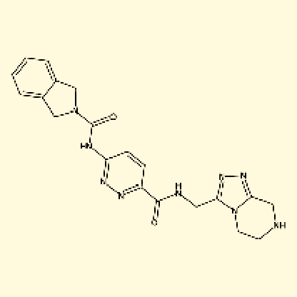 O=C(NCc1nnc2n1CCNC2)c1ccc(NC(=O)N2Cc3ccccc3C2)nn1